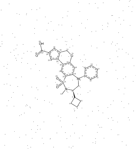 CN1[C@H](C2CCC2)CN(c2ccccc2)c2cc3c(cc2S1(=O)=O)-c1sc(C(=O)O)cc1CO3